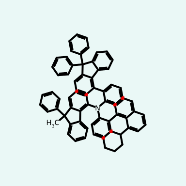 CC1(c2ccccc2)c2ccccc2-c2c(N(c3ccccc3-c3cccc4c3-c3ccccc3C4(c3ccccc3)c3ccccc3)c3ccccc3-c3cccc4cccc(C5CCCCC5)c34)cccc21